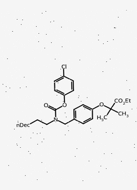 CCCCCCCCCCCCN(Cc1ccc(OC(C)(C)C(=O)OCC)cc1)C(=O)Oc1ccc(Cl)cc1